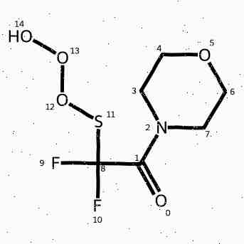 O=C(N1CCOCC1)C(F)(F)SOOO